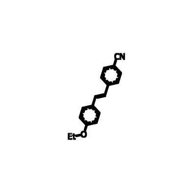 CCOc1ccc(C=Cc2ccc(C#N)cc2)cc1